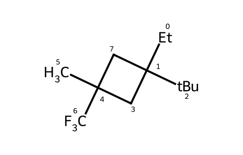 CCC1(C(C)(C)C)CC(C)(C(F)(F)F)C1